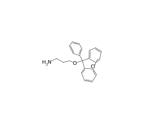 NCCCOC(c1ccccc1)(c1ccccc1)c1ccccc1Cl